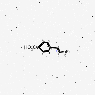 CCC/C=C/c1ccc(C(=O)O)cc1